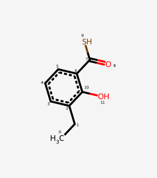 CCc1cccc(C(=O)S)c1O